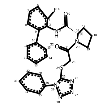 O=C(Nc1c(F)cccc1-c1ccccc1)[C@@H]1CCCN1C(=O)CSc1nnnn1-c1ccccc1